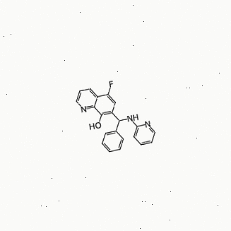 Oc1c(C(Nc2ccccn2)c2ccccc2)cc(F)c2cccnc12